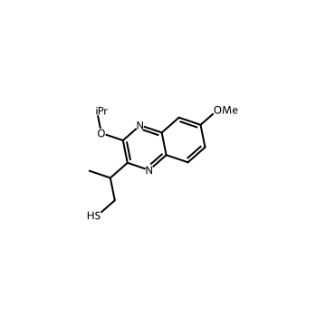 COc1ccc2nc(C(C)CS)c(OC(C)C)nc2c1